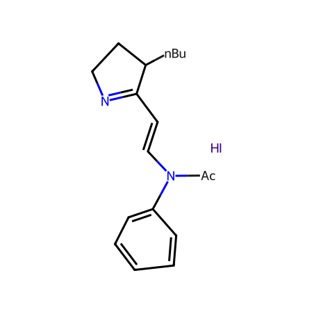 CCCCC1CCN=C1C=CN(C(C)=O)c1ccccc1.I